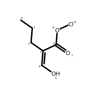 CCCC(=CO)C(=O)OCl